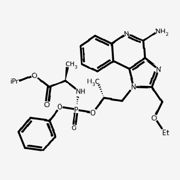 CCOCc1nc2c(N)nc3ccccc3c2n1C[C@@H](C)O[P@](=O)(N[C@H](C)C(=O)OC(C)C)Oc1ccccc1